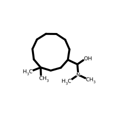 CN(C)C(O)C1CCCCCCCC(C)(C)CC1